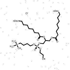 CCCCCCCCCCCCCCCCCC(=O)OCC(COP(=O)(OCCC#N)OCCCC[N+](C)(C)C)OC(=O)CCCCCCCCCCCCCCCCC.[Cl-]